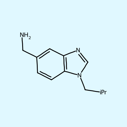 CC(C)Cn1cnc2cc(CN)ccc21